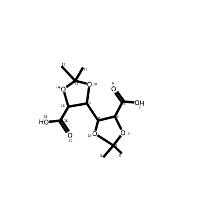 CC1(C)OC(C(=O)O)C(C2OC(C)(C)OC2C(=O)O)O1